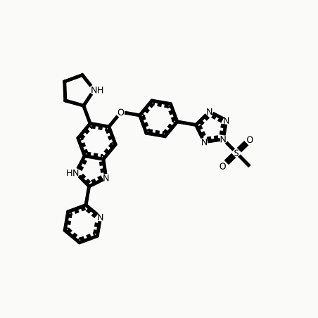 CS(=O)(=O)n1nnc(-c2ccc(Oc3cc4nc(-c5ccccn5)[nH]c4cc3C3CCCN3)cc2)n1